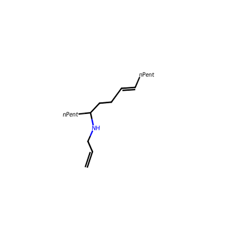 C=CCNC(CCC=CCCCCC)CCCCC